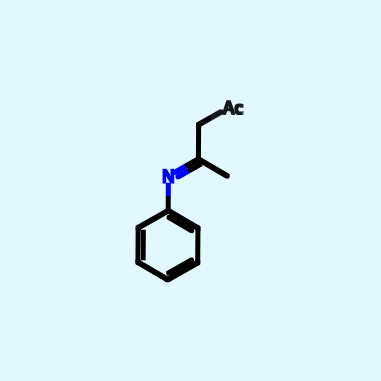 CC(=O)C/C(C)=N/c1ccccc1